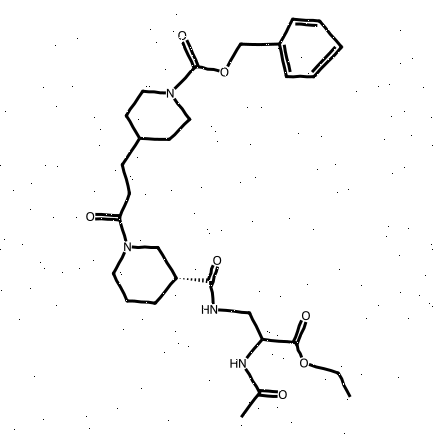 CCOC(=O)C(CNC(=O)[C@@H]1CCCN(C(=O)CCC2CCN(C(=O)OCc3ccccc3)CC2)C1)NC(C)=O